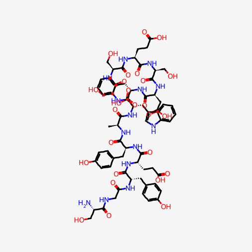 C[C@H](NC(=O)[C@H](Cc1ccc(O)cc1)NC(=O)[C@H](CCC(=O)O)NC(=O)[C@H](Cc1ccc(O)cc1)NC(=O)CNC(=O)[C@@H](N)CO)C(=O)N[C@@H](Cc1c[nH]c2ccccc12)C(=O)N[C@@H](CO)C(=O)N[C@@H](CO)C(=O)N[C@@H](CCC(=O)O)C(=O)N[C@@H](CO)C(=O)N[C@@H](CC(=O)O)C(=O)N[C@@H](Cc1ccccc1)C(=O)O